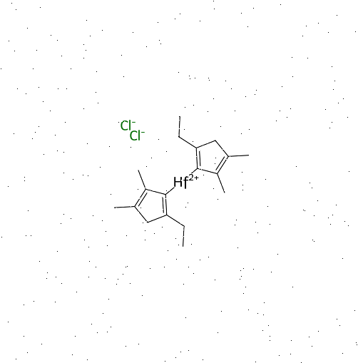 CCC1=[C]([Hf+2][C]2=C(CC)CC(C)=C2C)C(C)=C(C)C1.[Cl-].[Cl-]